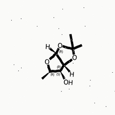 C[C@H]1O[C@@H]2OC(C)(C)O[C@@H]2[C@H]1O